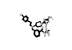 CS(=O)(=O)NC(=O)c1cccc(CN(CCc2ccc(Cl)cc2)C2CCN(c3nc(N)n[nH]3)CC2)c1